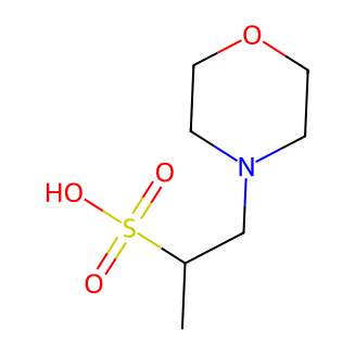 CC(CN1CCOCC1)S(=O)(=O)O